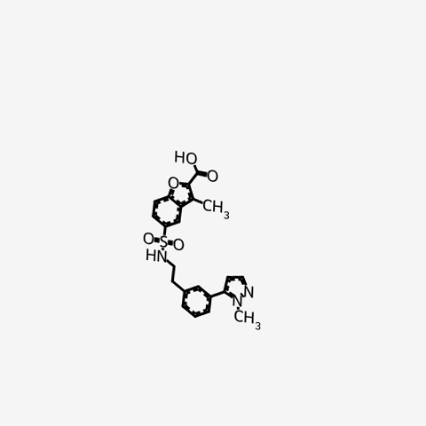 Cc1c(C(=O)O)oc2ccc(S(=O)(=O)NCCc3cccc(-c4ccnn4C)c3)cc12